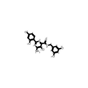 Nc1nc(-c2ccc(Cl)cc2Cl)nc(C(=O)OCc2cc(Cl)cc(Cl)c2)c1Cl